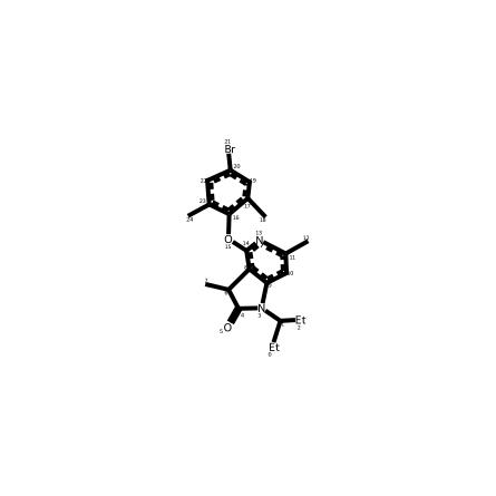 CCC(CC)N1C(=O)C(C)c2c1cc(C)nc2Oc1c(C)cc(Br)cc1C